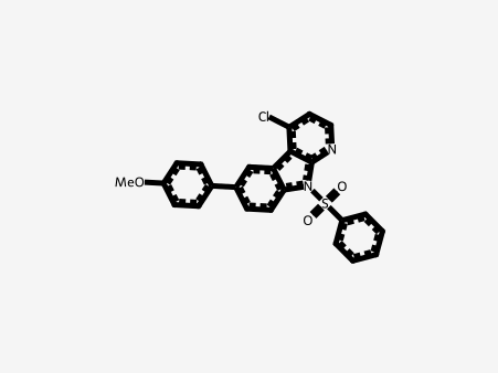 COc1ccc(-c2ccc3c(c2)c2c(Cl)ccnc2n3S(=O)(=O)c2ccccc2)cc1